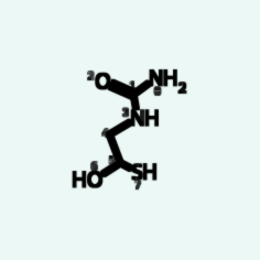 NC(=O)NCC(O)S